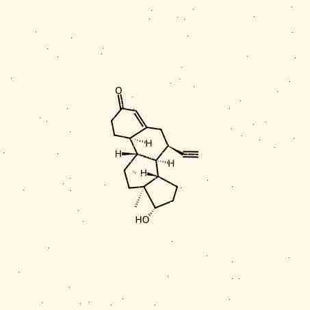 C#C[C@@H]1CC2=CC(=O)CC[C@@H]2[C@H]2CC[C@]3(C)[C@@H](O)CC[C@H]3[C@@H]21